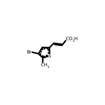 Cc1sc(C=CC(=O)O)cc1Br